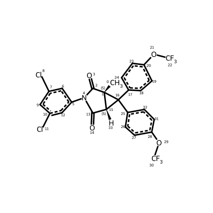 C[C@]12C(=O)N(c3cc(Cl)cc(Cl)c3)C(=O)[C@H]1C2(c1ccc(OC(F)(F)F)cc1)c1ccc(OC(F)(F)F)cc1